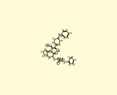 CC(C)(C)[C@H](NC(=O)C(CNC(=O)OCc1ccccc1)CC1CCCC1)C(=O)N1CCC(Cc2ccccc2)CC1